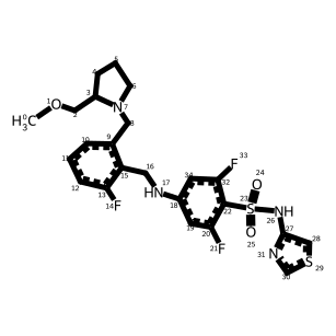 COCC1CCCN1Cc1cccc(F)c1CNc1cc(F)c(S(=O)(=O)Nc2cscn2)c(F)c1